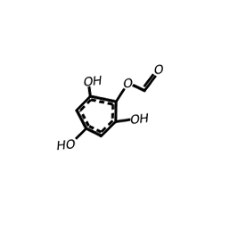 O=COc1c(O)cc(O)cc1O